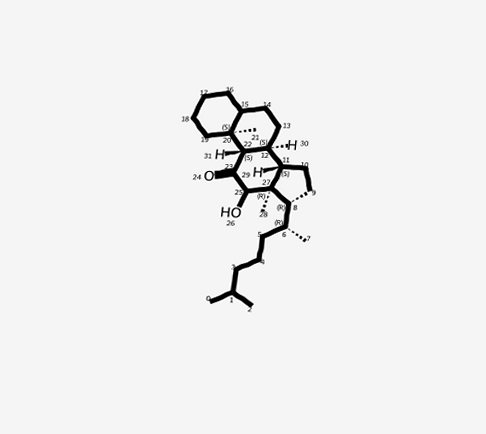 CC(C)CCC[C@@H](C)[C@H]1CC[C@H]2[C@@H]3CCC4CCCC[C@]4(C)[C@H]3C(=O)C(O)[C@]12C